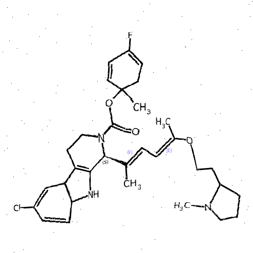 C/C(=C\C=C(/C)[C@H]1C2=C(CCN1C(=O)OC1(C)C=CC(F)=CC1)C1C=C(Cl)C=CC1N2)OCCC1CCCN1C